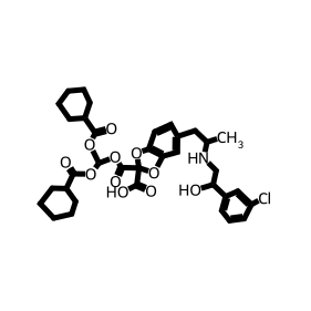 CC(Cc1ccc2c(c1)OC(C(=O)O)(C(=O)OC(OC(=O)C1CCCCC1)OC(=O)C1CCCCC1)O2)NCC(O)c1cccc(Cl)c1